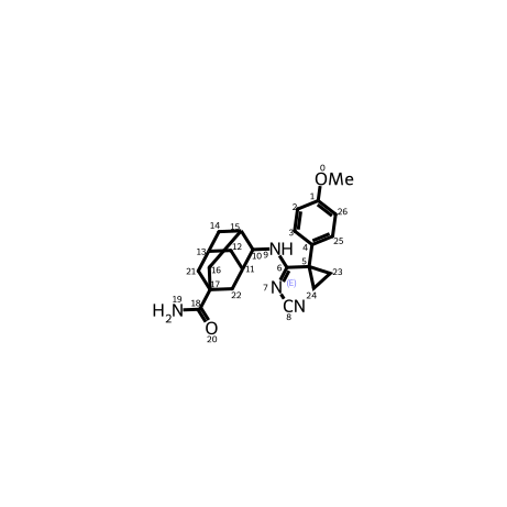 COc1ccc(C2(/C(=N\C#N)NC3C4CC5CC3CC(C(N)=O)(C5)C4)CC2)cc1